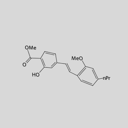 CCCc1ccc(C=Cc2ccc(C(=O)OC)c(O)c2)c(OC)c1